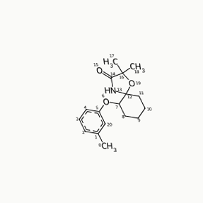 Cc1cccc(OC2CCCCC23NC(=O)C(C)(C)O3)c1